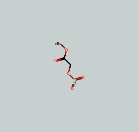 CCCCOC(=O)CO[SH](=O)=O